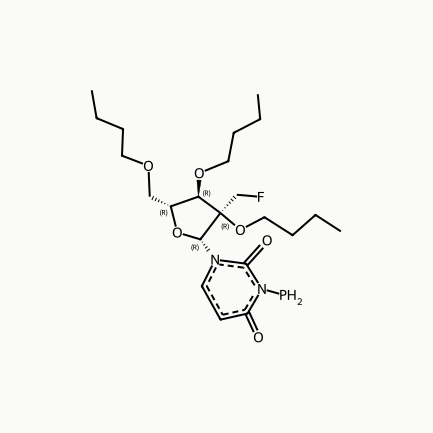 CCCCOC[C@H]1O[C@@H](n2ccc(=O)n(P)c2=O)[C@](CF)(OCCCC)[C@@H]1OCCCC